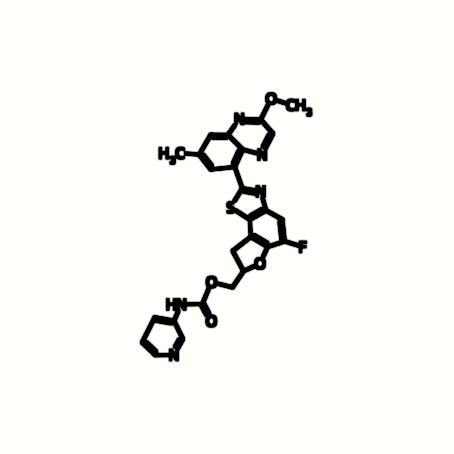 COc1cnc2c(-c3nc4cc(F)c5c(c4s3)CC(COC(=O)Nc3cccnc3)O5)cc(C)cc2n1